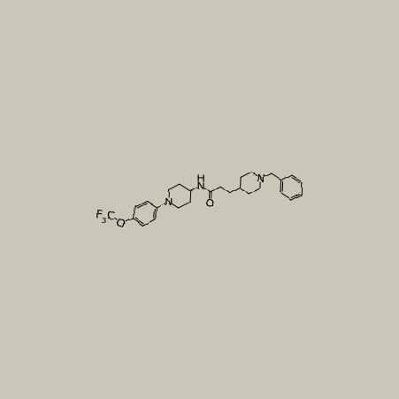 O=C(CCC1CCN(Cc2ccccc2)CC1)NC1CCN(c2ccc(OC(F)(F)F)cc2)CC1